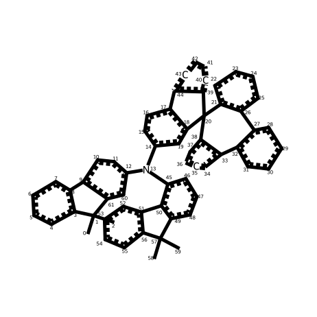 CC1(C)c2ccccc2-c2ccc(N(c3ccc4c(c3)C3(c5ccccc5-c5ccccc5-c5ccccc53)c3ccccc3-4)c3cccc4c3-c3ccccc3C4(C)C)cc21